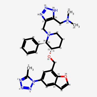 Cc1nnnn1-c1cc(CO[C@H]2CCCN(Cc3nn[nH]c3CN(C)C)[C@H]2c2ccccc2)c2occc2c1